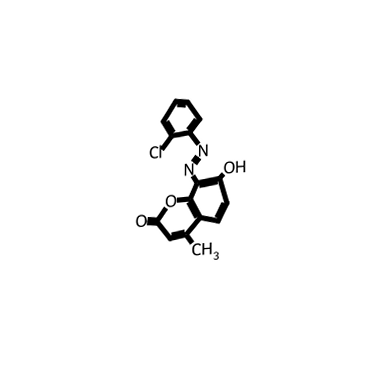 Cc1cc(=O)oc2c(N=Nc3ccccc3Cl)c(O)ccc12